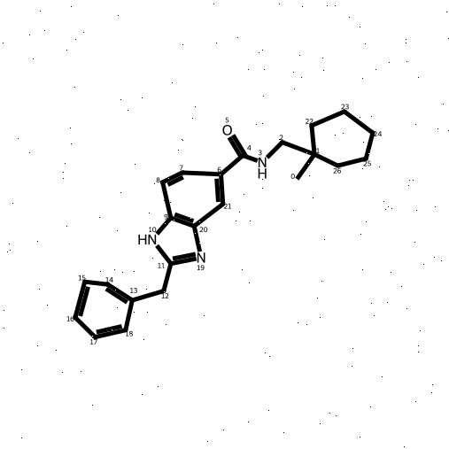 CC1(CNC(=O)c2ccc3[nH]c(Cc4ccccc4)nc3c2)CCCCC1